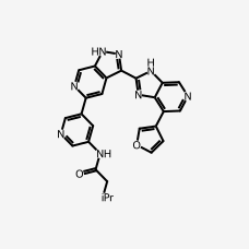 CC(C)CC(=O)Nc1cncc(-c2cc3c(-c4nc5c(-c6ccoc6)cncc5[nH]4)n[nH]c3cn2)c1